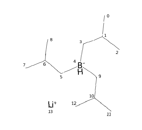 CC(C)C[BH-](CC(C)C)CC(C)C.[Li+]